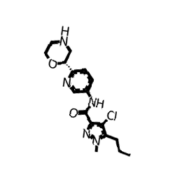 CCCc1c(Cl)c(C(=O)Nc2ccc([C@H]3CNCCO3)nc2)nn1C